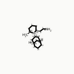 C[C@H]1CCC[C@@H](CCN)N1[C@H]1C[C@@H]2CCC[C@@H](C2)C1